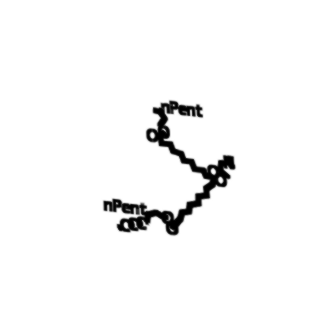 C=C=C=C=CC(CCCCC)CCOC(=O)CCCCCCCCCC1(CCCCCCCCCC(=O)OCCC(C)CCCCC)OCC(CN(C)C)O1